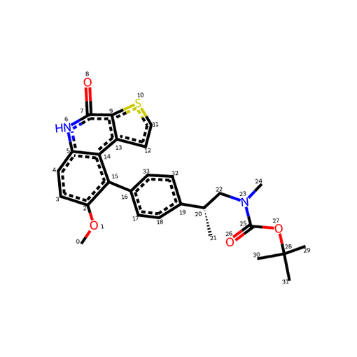 COc1ccc2[nH]c(=O)c3sccc3c2c1-c1ccc([C@@H](C)CN(C)C(=O)OC(C)(C)C)cc1